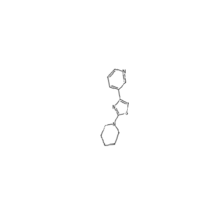 c1cncc(-c2csc(N3CCCCC3)n2)c1